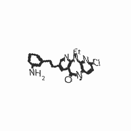 CCN1c2ncc(CCc3cccc(N)c3)cc2C(=O)N(C)c2ccc(Cl)nc21